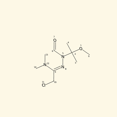 COC(C)(C)N(C=O)/N=C(/CCl)N(C)C